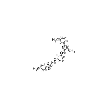 Cc1ccc(S(=O)(=O)OCCOC2CCCC(OCc3nc(-c4cccc(C)c4)oc3C)C2)cc1